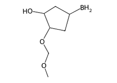 BC1CC(O)C(OCOC)C1